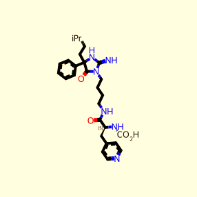 CC(C)CCC1(c2ccccc2)NC(=N)N(CCCCNC(=O)[C@H](Cc2ccncc2)NC(=O)O)C1=O